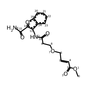 COC(=O)C=CCOCCC(=O)Nc1c(C(N)=O)oc2ccccc12